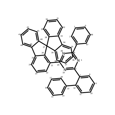 c1ccc(-c2nc(-c3ccccc3-c3ccccc3)nc(-c3cccc4c3C3(c5ccccc5-c5ccccc53)c3ccccc3-4)n2)cc1